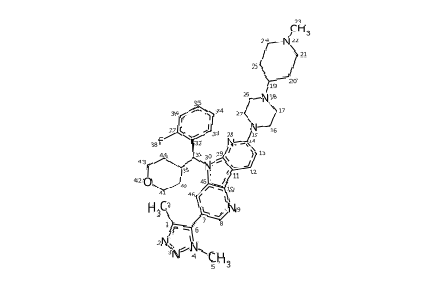 Cc1nnn(C)c1-c1cnc2c3ccc(N4CCN(C5CCN(C)CC5)CC4)nc3n([C@H](c3ccccc3F)C3CCOCC3)c2c1